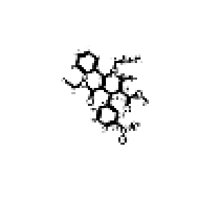 CCOC(=O)C1=C(c2ccccc2)N(C[SeH])C(C)=C(C(=O)OC)C1c1cccc([N+](=O)[O-])c1